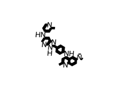 Cc1cc(Nc2cnc3[nH]c(-c4ccc(Nc5cc(C)nc6ccc(N(C)C)cc56)cc4)nc3c2)ccn1